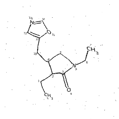 CCC1C(=O)N(CC)CC1Cc1cnco1